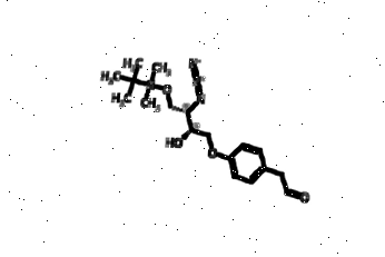 CC(C)(C)[Si](C)(C)OC[C@H](N=[N+]=[N-])[C@H](O)COc1ccc(CC=O)cc1